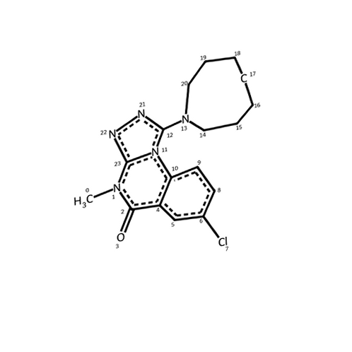 Cn1c(=O)c2cc(Cl)ccc2n2c(N3CCCCCCC3)nnc12